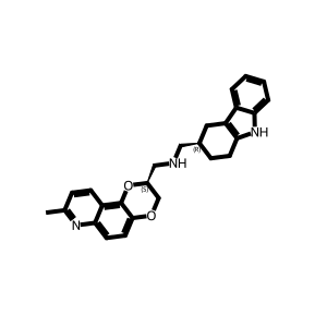 Cc1ccc2c3c(ccc2n1)OC[C@H](CNC[C@@H]1CCc2[nH]c4ccccc4c2C1)O3